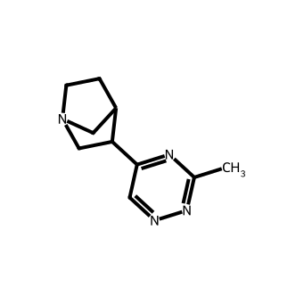 Cc1nncc(C2CN3CCC2C3)n1